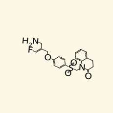 NCC(=CF)COc1ccc(S(=O)(=O)CN2C(=O)CCc3ccccc32)cc1